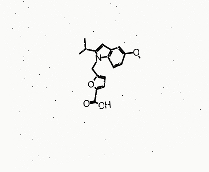 COc1ccc2c(c1)cc(C(C)C)n2Cc1ccc(C(=O)O)o1